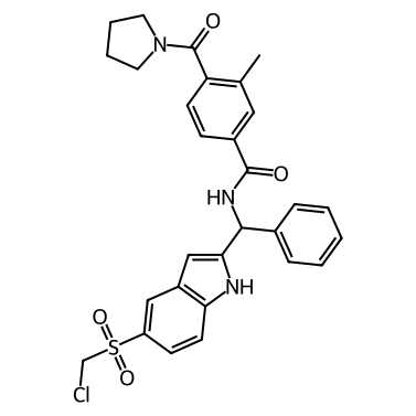 Cc1cc(C(=O)NC(c2ccccc2)c2cc3cc(S(=O)(=O)CCl)ccc3[nH]2)ccc1C(=O)N1CCCC1